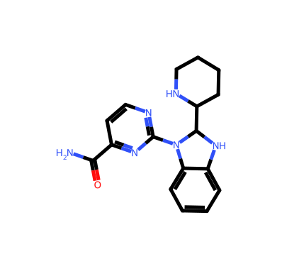 NC(=O)c1ccnc(N2c3ccccc3NC2C2CCCCN2)n1